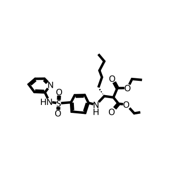 CCCCC[C@@H](Nc1ccc(S(=O)(=O)Nc2ccccn2)cc1)C(C(=O)OCC)C(=O)OCC